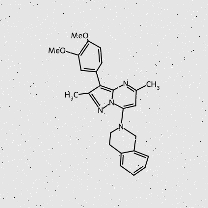 COc1ccc(-c2c(C)nn3c(N4CCc5ccccc5C4)cc(C)nc23)cc1OC